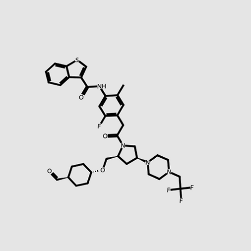 Cc1cc(CC(=O)N2C[C@@H](N3CCN(CC(F)(F)F)CC3)C[C@H]2CO[C@H]2CC[C@H](C=O)CC2)c(F)cc1NC(=O)c1csc2ccccc12